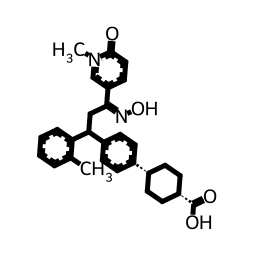 Cc1ccccc1C(CC(=NO)c1ccc(=O)n(C)c1)c1ccc([C@H]2CC[C@@H](C(=O)O)CC2)cc1